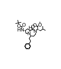 COC(=O)[C@@H](CC(C)C)N1CCC(CCc2ccccc2)N2C[C@H](NC(=O)OC(C)(C)C)C[C@H]2C1=O